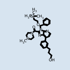 CN1CCN(C(=O)c2nc3c(-c4cccc(CCCO)c4)ccnc3n2C(OCC[Si](C)(C)C)c2ccccc2)CC1